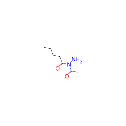 CCCCC(=O)N(N)C(C)=O